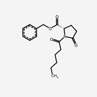 CCCCCC(=O)N1C(=O)CC[C@H]1C(=O)OCc1ccccc1